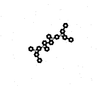 c1ccc(-c2ccc3c(c2)c2cc(-c4ccccc4)ccc2n3-c2ccc(-n3c4ccccc4c4c(-c5cccc6c5c5ccccc5n6-c5ccc6c(c5)c5cc(-c7ccccc7)ccc5n6-c5ccccc5)cccc43)cc2)cc1